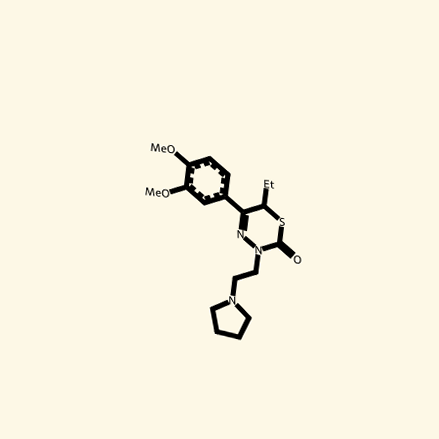 CCC1SC(=O)N(CCN2CCCC2)N=C1c1ccc(OC)c(OC)c1